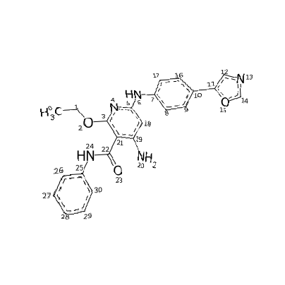 CCOc1nc(Nc2ccc(-c3cnco3)cc2)cc(N)c1C(=O)Nc1ccccc1